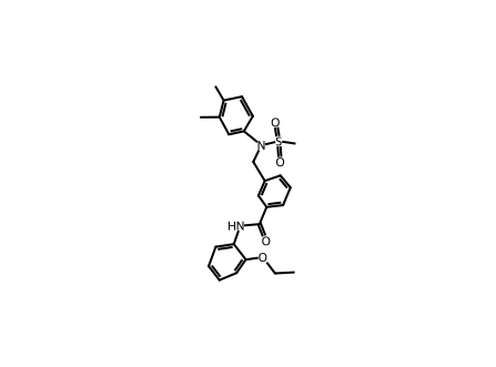 CCOc1ccccc1NC(=O)c1cccc(CN(c2ccc(C)c(C)c2)S(C)(=O)=O)c1